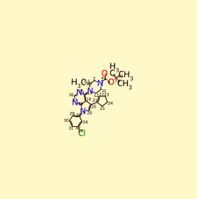 C[C@@H]1CN(C(=O)OC(C)(C)C)CCN1c1ncnc2c1c(C1=CCCC1)cn2-c1cccc(Cl)c1